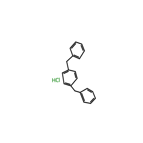 Cl.c1ccc(Cc2ccc(Cc3ccccc3)cc2)cc1